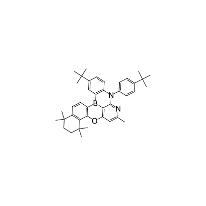 Cc1cc2c3c(n1)N(c1ccc(C(C)(C)C)cc1)c1ccc(C(C)(C)C)cc1B3c1ccc3c(c1O2)C(C)(C)CCC3(C)C